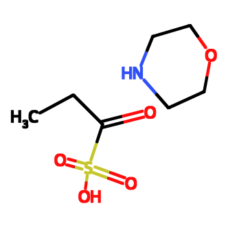 C1COCCN1.CCC(=O)S(=O)(=O)O